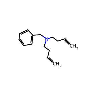 C=CCCN(CCC=C)Cc1ccccc1